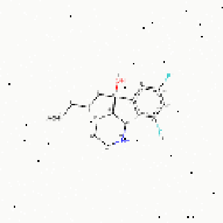 CC(=O)NCCCC(O)(c1cc(F)cc(F)c1)[C@@H]1CCCNC1